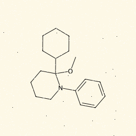 COC1(C2CCCCC2)CCCCN1c1ccccc1